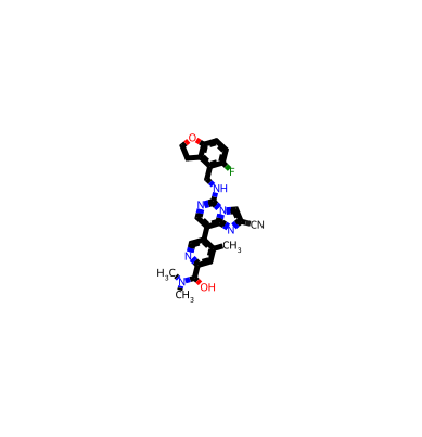 Cc1cc(C(O)N(C)C)ncc1-c1cnc(NCc2c(F)ccc3c2CCO3)n2cc(C#N)nc12